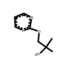 CCCC(C)(C)COc1ncccn1